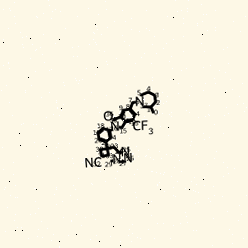 CC1CCCCN(Cc2cc3c(c(C(F)(F)F)c2)CN(c2cccc(C4(Cc5nncn5C)CC(C#N)C4)c2)C3=O)C1